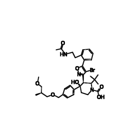 COC[C@H](C)COCc1ccc([C@@]2(O)CCN(C(=O)O)C(C(C)(C)C)[C@@H]2c2noc(-c3ccccc3CCNC(C)=O)c2Br)cc1